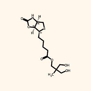 CC(CO)(CO)COC(=O)CCCC[C@@H]1SC[C@@H]2NC(=O)O[C@@H]21